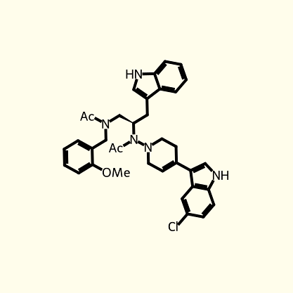 COc1ccccc1CN(C[C@@H](Cc1c[nH]c2ccccc12)N(C(C)=O)N1CC=C(c2c[nH]c3ccc(Cl)cc23)CC1)C(C)=O